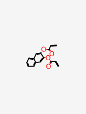 C=CC(=O)Oc1cc2ccccc2cc1OC(=O)C=C